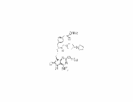 CCCCOc1nc(N)c2[nH]c(=O)n(CCCN(Cc3ccc(CC(=O)OC)cc3)C(=O)CN3CCC(N4CCCC4)CC3)c2n1